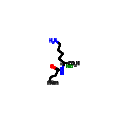 CCCCCCCCCCCC(=O)N[C@@H](CCCCN)C(=O)O.Cl